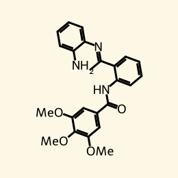 COc1cc(C(=O)Nc2ccccc2/C(C)=N/c2ccccc2N)cc(OC)c1OC